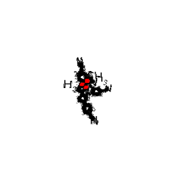 Cc1nc(C)nc(-c2cc(C#N)ccc2-n2c3cc(-c4ccc(C#N)cc4)ccc3c3ccc(-c4ccc(C#N)cc4)cc32)n1